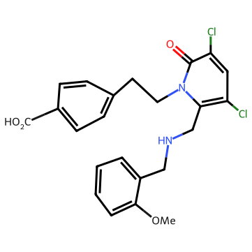 COc1ccccc1CNCc1c(Cl)cc(Cl)c(=O)n1CCc1ccc(C(=O)O)cc1